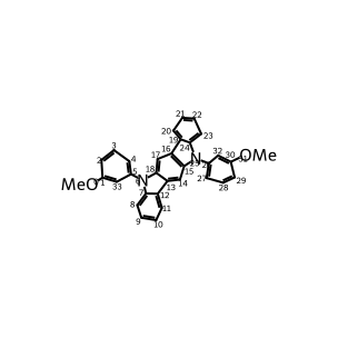 COc1cccc(-n2c3ccccc3c3cc4c(cc32)c2ccccc2n4-c2cccc(OC)c2)c1